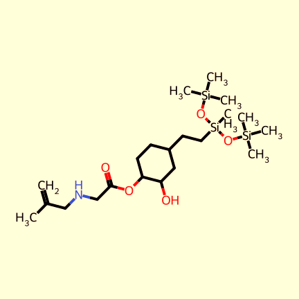 C=C(C)CNCC(=O)OC1CCC(CC[Si](C)(O[Si](C)(C)C)O[Si](C)(C)C)CC1O